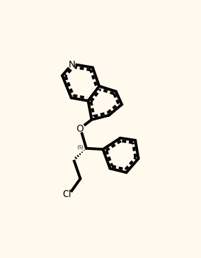 ClCC[C@H](Oc1cccc2cnccc12)c1ccccc1